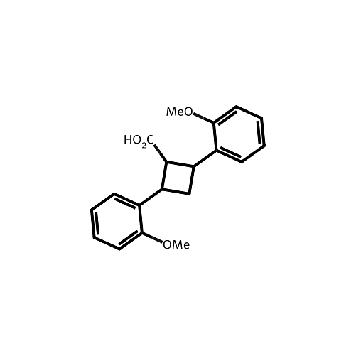 COc1ccccc1C1CC(c2ccccc2OC)C1C(=O)O